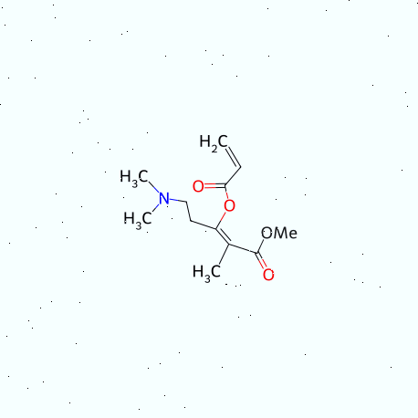 C=CC(=O)OC(CCN(C)C)=C(C)C(=O)OC